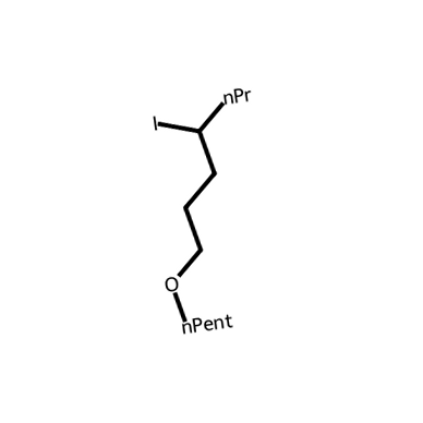 CCCCCOCCCC(I)CCC